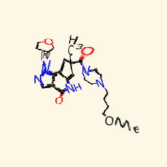 COCCCCN1CCN(C(=O)C2(C)C=c3[nH]c(=O)c4cnn([C@@H]5CCOC5)c4c3=C2)CC1